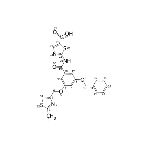 Cc1nc(COc2cc(OCc3ccccc3)cc(C(=O)Nc3ncc(C(=O)O)s3)c2)cs1